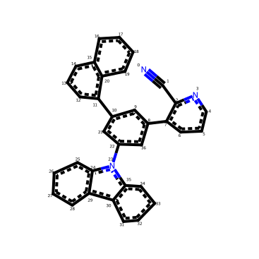 N#Cc1ncccc1-c1cc(-c2cccc3ccccc23)cc(-n2c3ccccc3c3ccccc32)c1